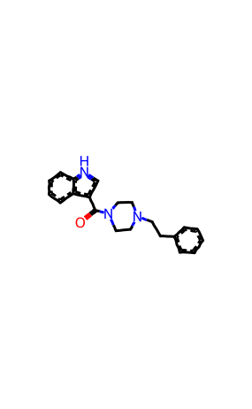 O=C(c1c[nH]c2ccccc12)N1CCN(CCc2ccccc2)CC1